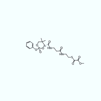 COC(=O)C(=O)SCCNC(=O)CCNC(=O)[C@@H]1OP(=O)(Oc2ccccc2)OCC1(C)C